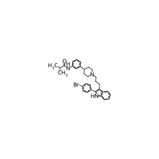 CC(C)C(=O)Nc1cccc(C2CCN(CCCc3c(-c4ccc(Br)cc4)[nH]c4ccccc34)CC2)c1